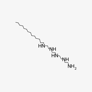 CCCCCCCCCCCCCCNCCNCCNCCNCCN